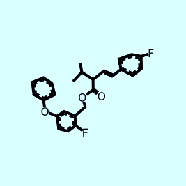 CC(C)C(C=Cc1ccc(F)cc1)C(=O)OCc1cc(Oc2ccccc2)ccc1F